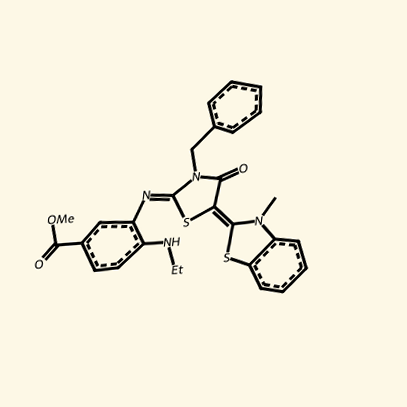 CCNc1ccc(C(=O)OC)cc1/N=C1\S/C(=C2\Sc3ccccc3N2C)C(=O)N1Cc1ccccc1